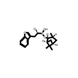 C[C@@H]1C[C@@H]2C[C@H]([C@@H]1OB(O)[C@H](Cl)Cc1coc3ccccc13)C2(C)C